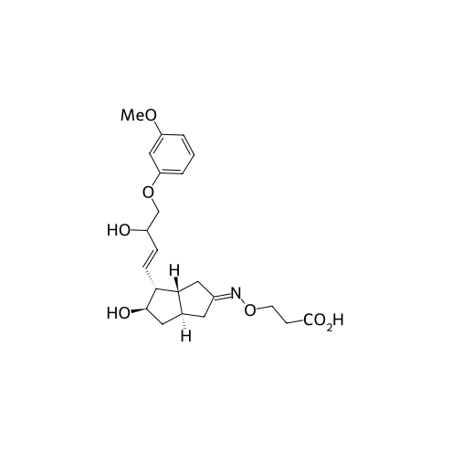 COc1cccc(OCC(O)C=C[C@@H]2[C@@H]3CC(=NOCCC(=O)O)C[C@H]3C[C@H]2O)c1